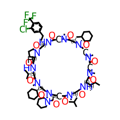 CC[C@H](C)[C@@H]1NC(=O)[C@H](CC(C)C)N(C)C(=O)C[C@@H](C(=O)N2CCCCC2)N(C)C(=O)[C@H](C2CCCCC2)N(C)C(=O)[C@H](C(C)C)NC(=O)[C@@H]2CCCN2C(=O)[C@H](CCc2ccc(C(F)(F)F)c(Cl)c2)NC(=O)CN(C)C(=O)[C@H](CC2CCCCC2)N(C)C(=O)CN(C)C(=O)CN(C)C1=O